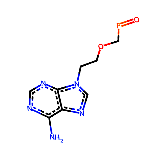 Nc1ncnc2c1ncn2CCOCP=O